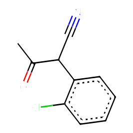 CC(=O)C(C#N)c1ccccc1Cl